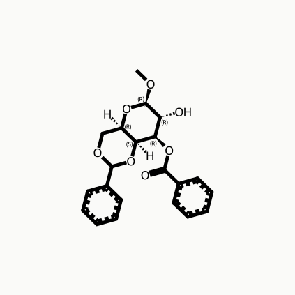 CO[C@@H]1O[C@@H]2COC(c3ccccc3)O[C@@H]2[C@H](OC(=O)c2ccccc2)[C@H]1O